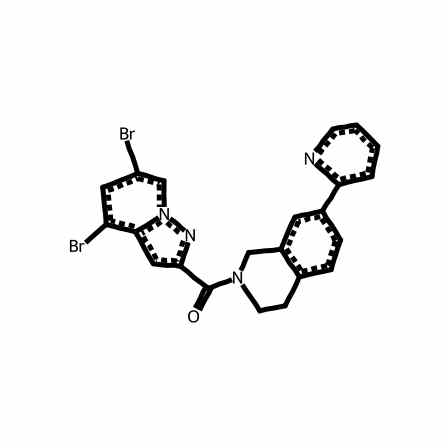 O=C(c1cc2c(Br)cc(Br)cn2n1)N1CCc2ccc(-c3ccccn3)cc2C1